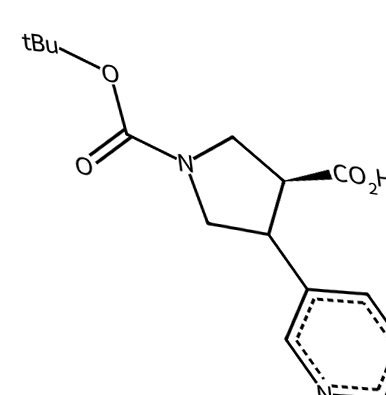 CC(C)(C)OC(=O)N1CC(c2cncnc2)[C@H](C(=O)O)C1